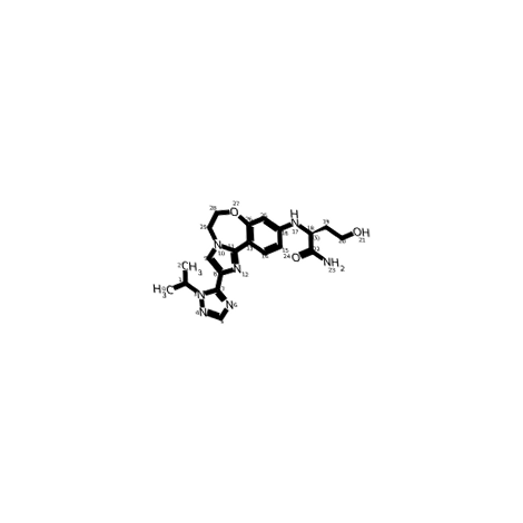 CC(C)n1ncnc1-c1cn2c(n1)-c1ccc(N[C@@H](CCO)C(N)=O)cc1OCC2